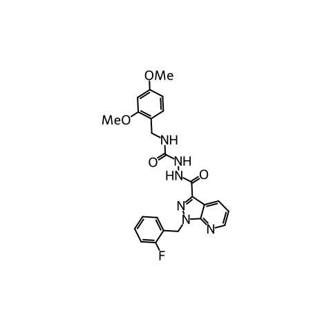 COc1ccc(CNC(=O)NNC(=O)c2nn(Cc3ccccc3F)c3ncccc23)c(OC)c1